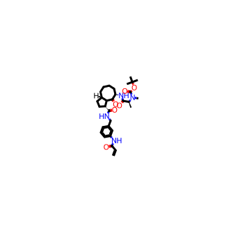 C=CC(=O)Nc1cccc(CNC(=O)[C@@H]2CC[C@@H]3CCCC[C@H](NC(=O)[C@H](C)N(C)C(=O)OC(C)(C)C)C(=O)C32)c1